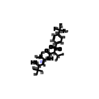 CC(C)C(C(=O)N/C(=C/C(=N)C(C)(C)C)N(C)C)S(=O)(=O)c1ccc(C(F)(F)F)cc1